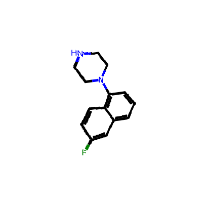 Fc1ccc2c(N3CCNCC3)cccc2c1